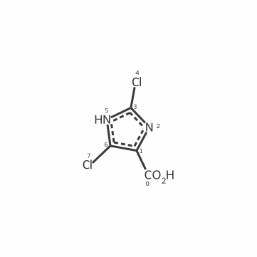 O=C(O)c1nc(Cl)[nH]c1Cl